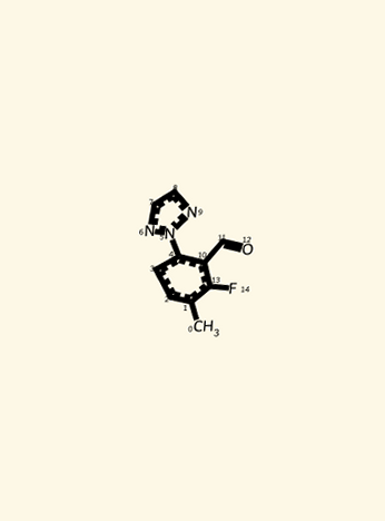 Cc1ccc(-n2nccn2)c(C=O)c1F